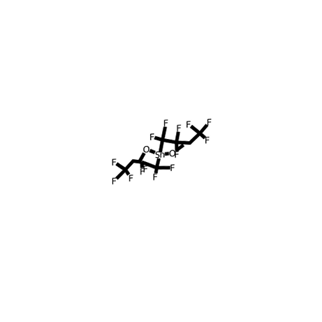 C[O][Sn]([O]C)([C](F)(F)C(F)(F)CC(F)(F)F)[C](F)(F)C(F)(F)CC(F)(F)F